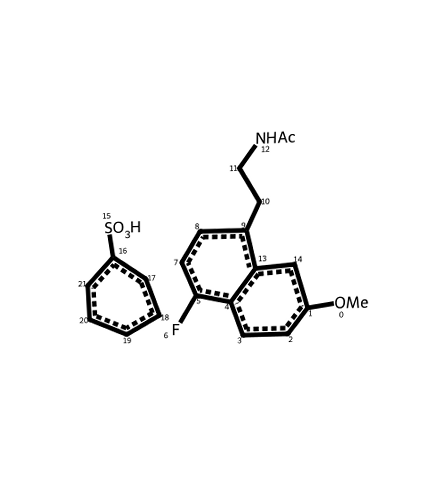 COc1ccc2c(F)ccc(CCNC(C)=O)c2c1.O=S(=O)(O)c1ccccc1